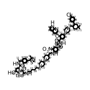 Cc1ncsc1-c1ccc([C@H](C)NC(=O)[C@@H]2C[C@@H](O)CN2C(=O)[C@@H](NCCCCCCN2CCC(N3CCC(CNc4ccc(S(=O)(=O)NC(=O)c5ccc(N6CCN(CC7=C(c8ccc(Cl)cc8)CC(C)(C)CC7)CC6)cc5Oc5cnc6[nH]ccc6c5)cc4[N+](=O)[O-])CC3)CC2)C(C)(C)C)cc1